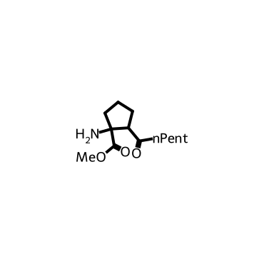 CCCCCC(=O)C1CCCC1(N)C(=O)OC